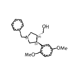 COc1ccc(OC)c([C@H]2CN(Cc3ccccc3)C[C@@H]2CO)c1